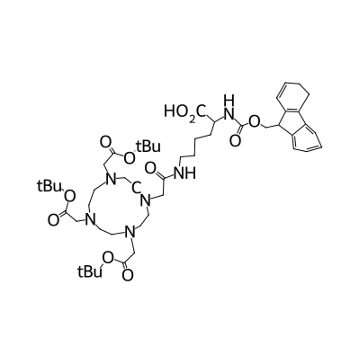 CC(C)(C)OC(=O)CN1CCN(CC(=O)NCCCCC(NC(=O)OCC2C3=C(CCC=C3)c3ccccc32)C(=O)O)CCN(CC(=O)OC(C)(C)C)CCN(CC(=O)OC(C)(C)C)CC1